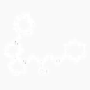 OC(COC1CCCCC1)CN1CCCC12CCN(c1ccccc1)C2